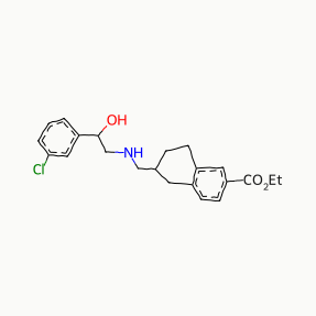 CCOC(=O)c1ccc2c(c1)CCC(CNCC(O)c1cccc(Cl)c1)C2